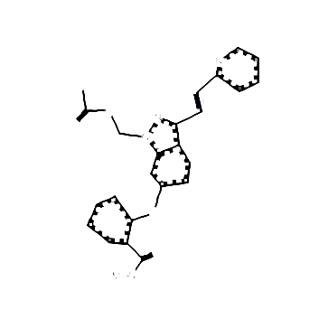 CNC(=O)c1ccccc1Sc1ccc2c(/C=C/c3ccccn3)nn(COC(=O)C(C)(C)C)c2c1